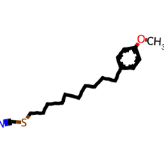 COc1ccc(CCCCCCCCCCSC#N)cc1